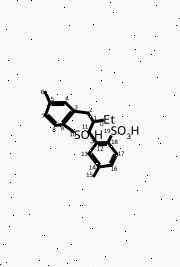 CCC(Cc1cc(C)ccc1S(=O)(=O)O)Cc1cc(C)ccc1S(=O)(=O)O